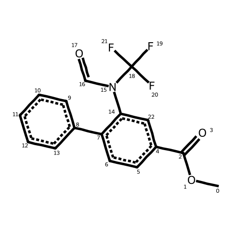 COC(=O)c1ccc(-c2ccccc2)c(N(C=O)C(F)(F)F)c1